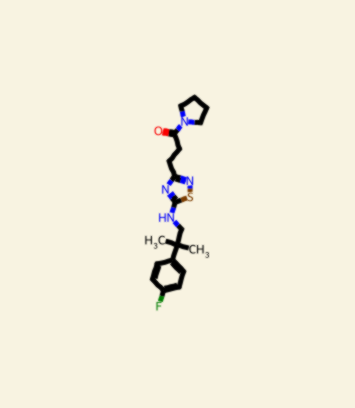 CC(C)(CNc1nc(CCC(=O)N2CCCC2)ns1)c1ccc(F)cc1